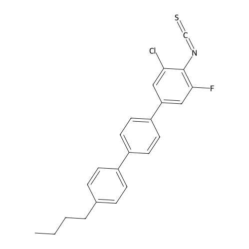 CCCCc1ccc(-c2ccc(-c3cc(F)c(N=C=S)c(Cl)c3)cc2)cc1